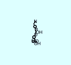 N#CCc1ccc(OC[C@H](O)COc2cccc(CC3(C(=O)O)CCCO3)c2)cc1